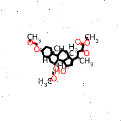 COCO[C@@H]1CC[C@]2(C)C3CC[C@]4(C)C([C@H](C)CC(=O)C(=O)OC)=C[C@H](O)[C@H]4C3[C@H](OCOC)C[C@@H]2C1